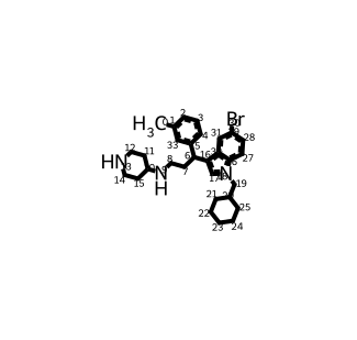 Cc1cccc(C(CCNC2CCNCC2)c2cn(CC3CCCCC3)c3ccc(Br)cc23)c1